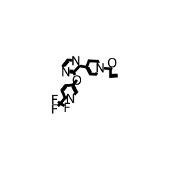 C=CC(=O)N1CC=C(c2nccnc2Oc2ccc(C(F)(F)F)nc2)CC1